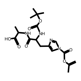 C=C(C)OC(=O)n1cnc(CC(NC(=O)OC(C)(C)C)C(=O)NC(C)C(=O)O)c1